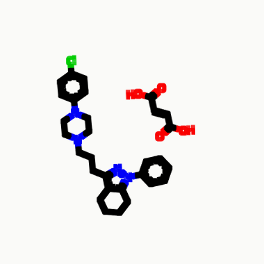 Clc1ccc(N2CCN(CCCc3nn(-c4ccccc4)c4c3CCCC4)CC2)cc1.O=C(O)C=CC(=O)O